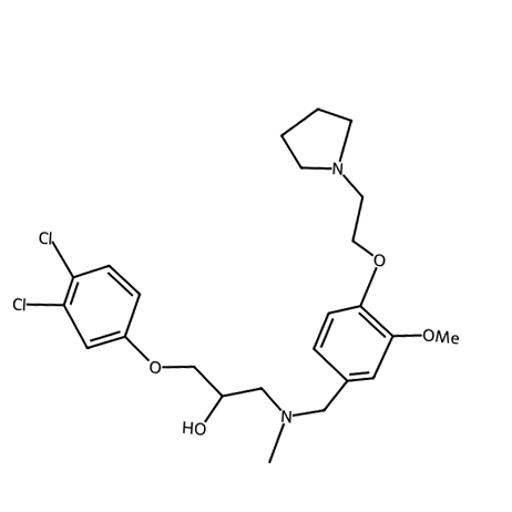 COc1cc(CN(C)CC(O)COc2ccc(Cl)c(Cl)c2)ccc1OCCN1CCCC1